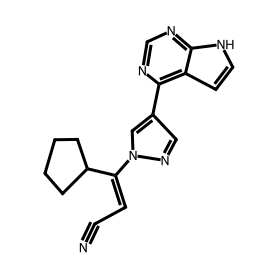 N#CC=C(C1CCCC1)n1cc(-c2ncnc3[nH]ccc23)cn1